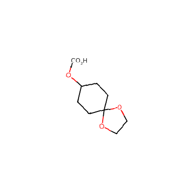 O=C(O)OC1CCC2(CC1)OCCO2